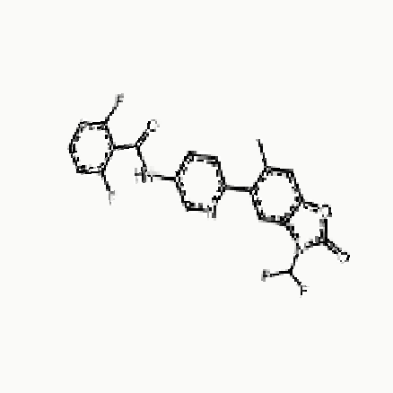 Cc1cc2oc(=O)n(C(F)F)c2cc1-c1ccc(NC(=O)c2c(F)cccc2F)cn1